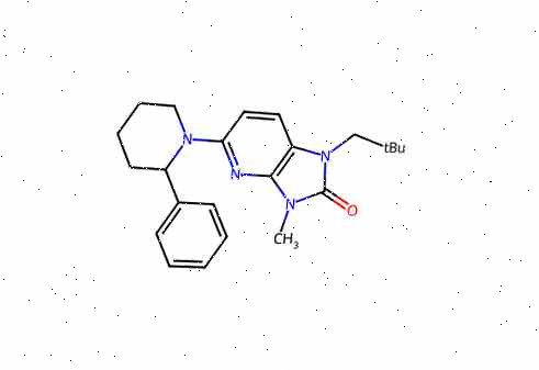 Cn1c(=O)n(CC(C)(C)C)c2ccc(N3CCCCC3c3ccccc3)nc21